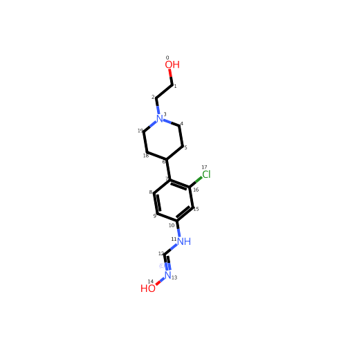 OCCN1CCC(c2ccc(N/C=N/O)cc2Cl)CC1